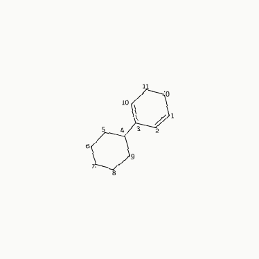 [CH]1C=CC(C2CC[CH]CC2)=CC1